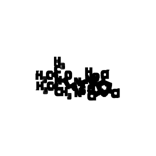 CC(C)N(C(=O)Cc1nsc(NS(=O)(=O)c2c(Cl)cc(Cl)cc2Cl)n1)C(C)C